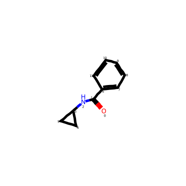 O=C(NC1CC1)c1c[c]ccc1